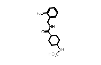 O=C(O)N[C@H]1CC[C@@H](C(=O)NCc2ccccc2C(F)(F)F)CC1